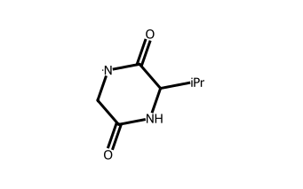 CC(C)C1NC(=O)C[N]C1=O